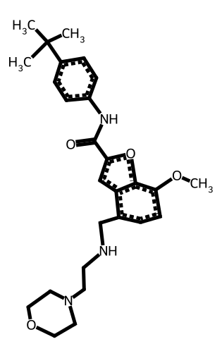 COc1ccc(CNCCN2CCOCC2)c2cc(C(=O)Nc3ccc(C(C)(C)C)cc3)oc12